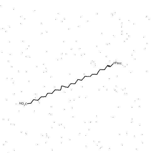 CCCCCC=CCCCCCCCCCCCCCCCCCCCCCC(=O)O